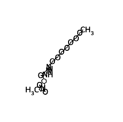 CCOCCOCCOCCOCCOCCOCCOCCn1cc(CNC(=O)C2CCC(CN3C(=O)CC(C)C3=O)CC2)nn1